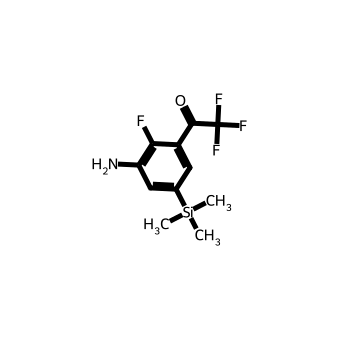 C[Si](C)(C)c1cc(N)c(F)c(C(=O)C(F)(F)F)c1